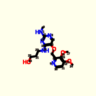 CNc1ncc(OCc2nccc(OC)c2OC)c(NCCCO)n1